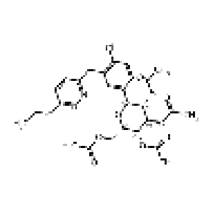 CCOc1ccc(Cc2cc([C@@H]3O[C@@H](COC(C)=O)[C@@H](OC(C)=O)[C@H](OC(C)=O)[C@H]3OC(C)=O)ccc2Cl)nn1